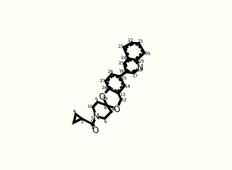 O=C(C1CC1)N1CCC2(CC1)OCc1cc(-c3cnc4ccccc4c3)ccc1O2